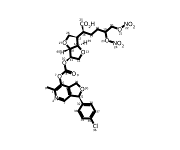 Cc1ncc2c(c1OC(=O)O[C@@H]1CO[C@@H]3[C@H]([C@H](CCC(CO[N+](=O)[O-])O[N+](=O)[O-])C(=O)O)CO[C@H]31)CO[C@H]2c1ccc(Cl)cc1